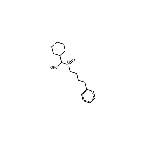 O=[C]C(C1CCCCC1)[PH](=O)CCCCc1ccccc1